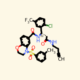 C#CCCNC(=O)C[C@H](NC(=O)c1ccc2c(c1)N(S(=O)(=O)c1cccc(C)c1)CCO2)c1cc(C(F)(F)F)ccc1Cl